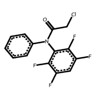 O=C(CCl)N(c1ccccc1)c1c(F)c(F)cc(F)c1F